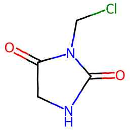 O=C1CNC(=O)N1CCl